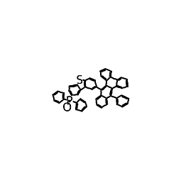 O=P(c1ccccc1)(c1ccccc1)c1ccc2sc3ccc(-c4c5ccccc5c(-c5ccccc5)c5c6ccccc6c6ccccc6c45)cc3c2c1